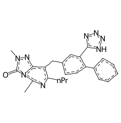 CCCc1nc(C)n2c(=O)n(C)nc2c1Cc1ccc(-c2ccccc2)c(-c2nnn[nH]2)c1